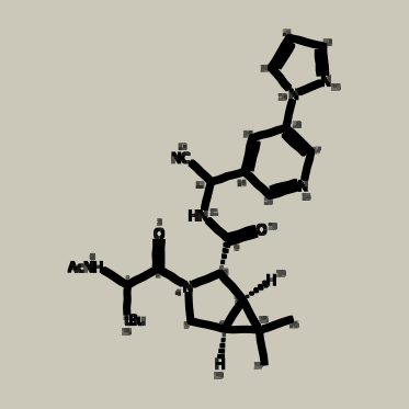 CC(=O)NC(C(=O)N1C[C@H]2[C@@H]([C@H]1C(=O)NC(C#N)c1cncc(-n3cccn3)c1)C2(C)C)C(C)(C)C